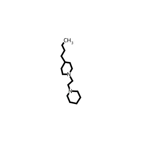 CCCCC1CCN(CCN2CCCCC2)CC1